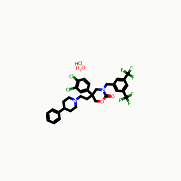 Cl.O.O=C1OCC(CCN2CCC(c3ccccc3)CC2)(c2ccc(Cl)c(Cl)c2)CN1Cc1cc(C(F)(F)F)cc(C(F)(F)F)c1